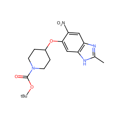 Cc1nc2cc([N+](=O)[O-])c(OC3CCN(C(=O)OC(C)(C)C)CC3)cc2[nH]1